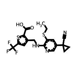 CCSc1cc(C2(C#N)CC2)cnc1NCc1cc(C(F)(F)F)sc1C(=O)O